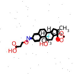 C[C@@H]1C[C@H]2[C@@H]3CCC4=C/C(=N/OCCC(=O)O)C=C[C@]4(C)[C@@]3(F)[C@@H](O)C[C@]2(C)[C@]12OCOC21COCO1